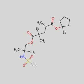 CCC1(OC(=O)C(C)CC(C)(CC)C(=O)OCC(C)(C)NS(=O)(=O)C(F)(F)F)CCCC1